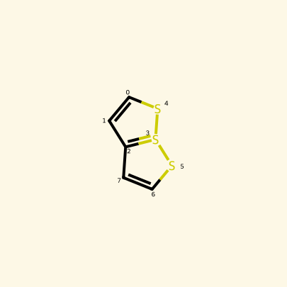 C1=CC2=S(S1)SC=C2